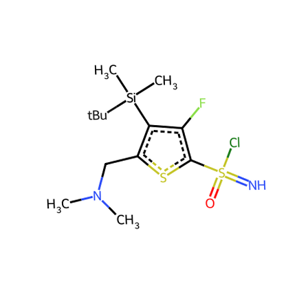 CN(C)Cc1sc(S(=N)(=O)Cl)c(F)c1[Si](C)(C)C(C)(C)C